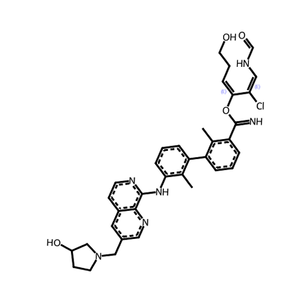 Cc1c(Nc2nccc3cc(CN4CCC(O)C4)cnc23)cccc1-c1cccc(C(=N)OC(=C/CCO)/C(Cl)=C\NC=O)c1C